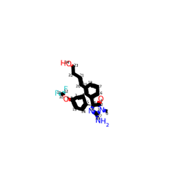 CN1C(=O)[C@](c2ccc(OC(F)F)cc2)(c2cccc(/C=C/CCO)c2)N=C1N